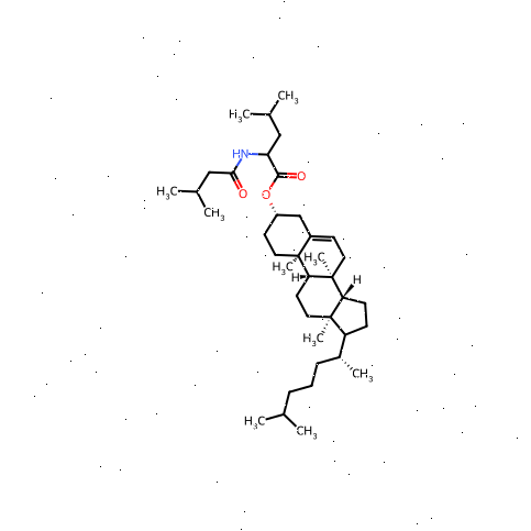 CC(C)CCC[C@@H](C)C1CC[C@H]2[C@]3(C)CC=C4C[C@@H](OC(=O)C(CC(C)C)NC(=O)CC(C)C)CC[C@]4(C)[C@H]3CC[C@]12C